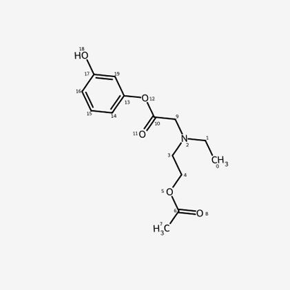 CCN(CCOC(C)=O)CC(=O)Oc1cccc(O)c1